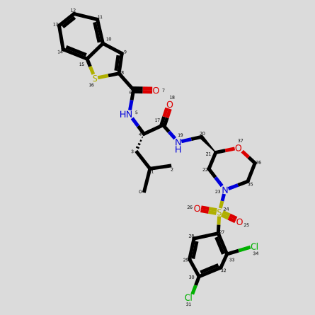 CC(C)C[C@H](NC(=O)c1cc2ccccc2s1)C(=O)NC[C@@H]1CN(S(=O)(=O)c2ccc(Cl)cc2Cl)CCO1